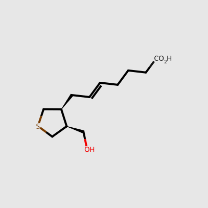 O=C(O)CCCC=CC[C@@H]1CSC[C@@H]1CO